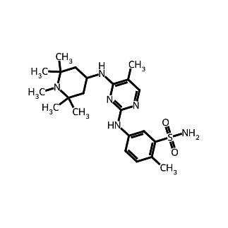 Cc1ccc(Nc2ncc(C)c(NC3CC(C)(C)N(C)C(C)(C)C3)n2)cc1S(N)(=O)=O